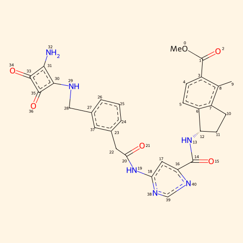 COC(=O)c1ccc2c(c1C)CC[C@@H]2NC(=O)c1cc(NC(=O)Cc2cccc(CNc3c(N)c(=O)c3=O)c2)ncn1